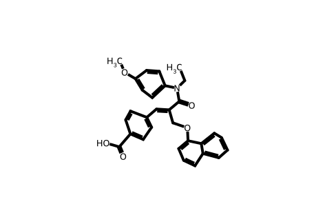 CCN(C(=O)/C(=C/c1ccc(C(=O)O)cc1)COc1cccc2ccccc12)c1ccc(OC)cc1